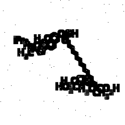 CC(C)CCCC(C)C1CCC2C3CC=C4CC(OP(O)OCCCCCCCCCCCc5cc(CC(C)(C)C(=O)O)cc(CC(C)(C)C(=O)O)c5)CCC4(C)C3CCC12C